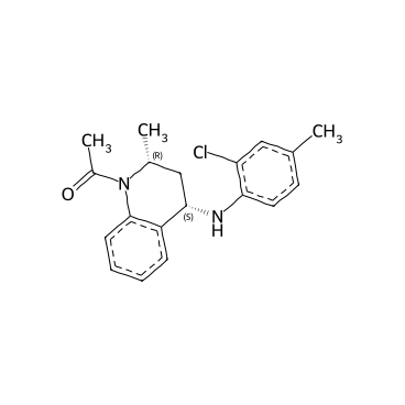 CC(=O)N1c2ccccc2[C@@H](Nc2ccc(C)cc2Cl)C[C@H]1C